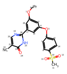 CC(C)Oc1cc(Oc2ccc(S(C)(=O)=O)cc2)cc(-c2ncc(C#N)c(=O)[nH]2)c1